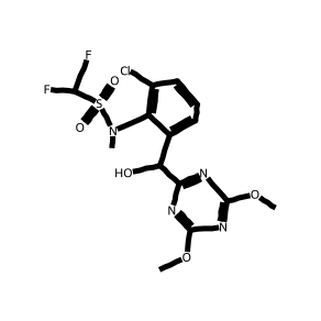 COc1nc(OC)nc(C(O)c2cccc(Cl)c2N(C)S(=O)(=O)C(F)F)n1